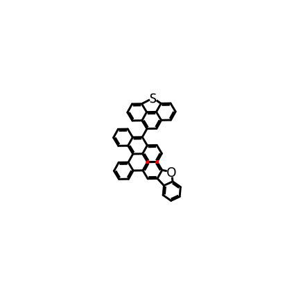 c1ccc(-c2c3ccccc3c(-c3cc4cccc5sc6cccc3c6c45)c3ccccc23)c(-c2ccc3oc4ccccc4c3c2)c1